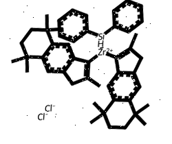 CC1=[C]([Zr+2]([C]2=C(C)Cc3cc4c(cc32)C(C)(C)CCC4(C)C)[SiH](c2ccccc2)c2ccccc2)c2cc3c(cc2C1)C(C)(C)CCC3(C)C.[Cl-].[Cl-]